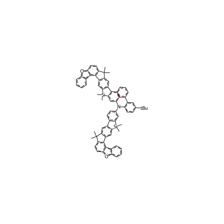 CC(C)(C)c1ccc(N(c2ccc3c(c2)[Si](C)(C)c2cc4c(cc2-3)C(C)(C)c2ccc3oc5ccccc5c3c2-4)c2ccc3c(c2)[Si](C)(C)c2cc4c(cc2-3)C(C)(C)c2ccc3oc5ccccc5c3c2-4)c(-c2ccccc2)c1